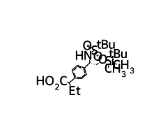 CCC(C(=O)O)c1ccc([C@@H](CO[Si](C)(C)C(C)(C)C)NS(=O)(=O)C(C)(C)C)cc1